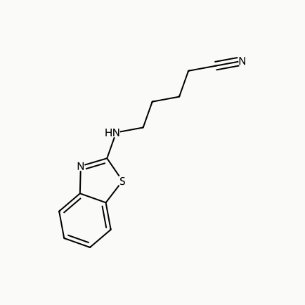 N#CCCCCNc1nc2ccccc2s1